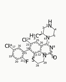 C[C@H]1CNCCN1c1nc(=O)n2c3c(c(-c4cc(Cl)ccc4F)c(Cl)cc13)SCC2